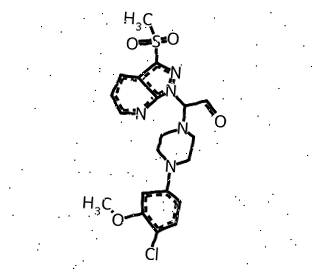 COc1cc(N2CCN(C(C=O)n3nc(S(C)(=O)=O)c4cccnc43)CC2)ccc1Cl